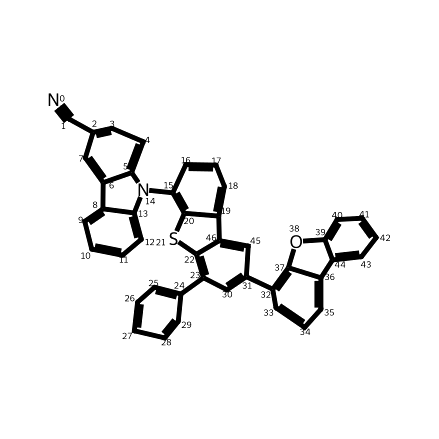 N#Cc1ccc2c(c1)c1ccccc1n2-c1cccc2c1sc1c(-c3ccccc3)cc(-c3cccc4c3oc3ccccc34)cc12